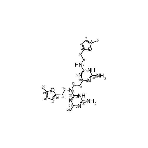 Cc1ccc(CCNC2=NC(CCN(CCc3ccc(C)o3)C3=NC(C)N=C(N)N3)N=C(N)N2)o1